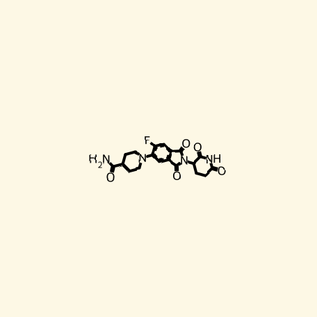 NC(=O)C1CCN(c2cc3c(cc2F)C(=O)N(C2CCC(=O)NC2=O)C3=O)CC1